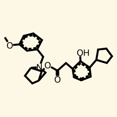 COc1cccc(CN2CC3CCC2C3OC(=O)Cc2cccc(C3CCCC3)c2O)c1